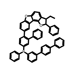 CCC1c2ccc3oc4ccc(-c5ccc(N(c6ccccc6)c6cccc(-c7ccc(-c8ccccc8)cc7)c6)cc5-c5ccccc5)cc4c3c2OC1c1ccccc1